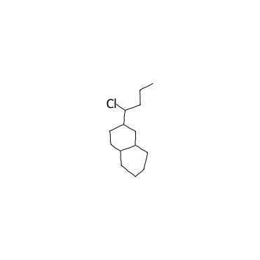 CCCC(Cl)C1CCC2CCCCC2C1